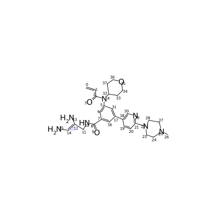 C=CC(=O)N(c1cc(C(=O)NC/C(N)=C/N)cc(-c2ccc(N3CCN(C)CC3)nc2)c1)C1CCOCC1